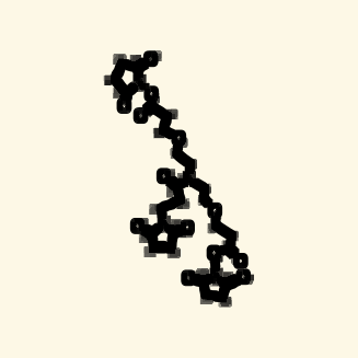 O=C(CCOCCN(CCOCCC(=O)ON1C(=O)CCC1=O)C(=O)CCN1C(=O)C=CC1=O)ON1C(=O)CCC1=O